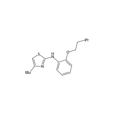 CC(C)CCOc1ccccc1Nc1nc(C(C)(C)C)cs1